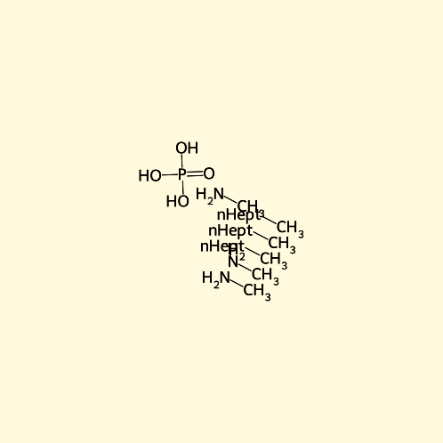 CCCCCCCC.CCCCCCCC.CCCCCCCC.CN.CN.CN.O=P(O)(O)O